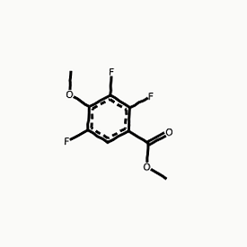 COC(=O)c1cc(F)c(OC)c(F)c1F